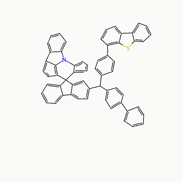 c1ccc(-c2ccc(C(c3ccc(-c4cccc5c4sc4ccccc45)cc3)c3ccc4c(c3)C3(c5ccccc5-4)c4ccccc4-n4c5ccccc5c5cccc3c54)cc2)cc1